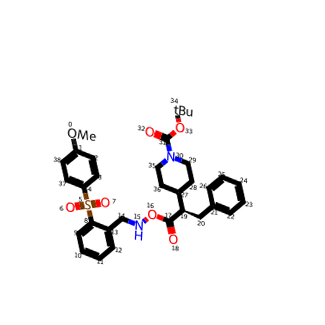 COc1ccc(S(=O)(=O)c2ccccc2CNOC(=O)[C@H](Cc2ccccc2)C2CCN(C(=O)OC(C)(C)C)CC2)cc1